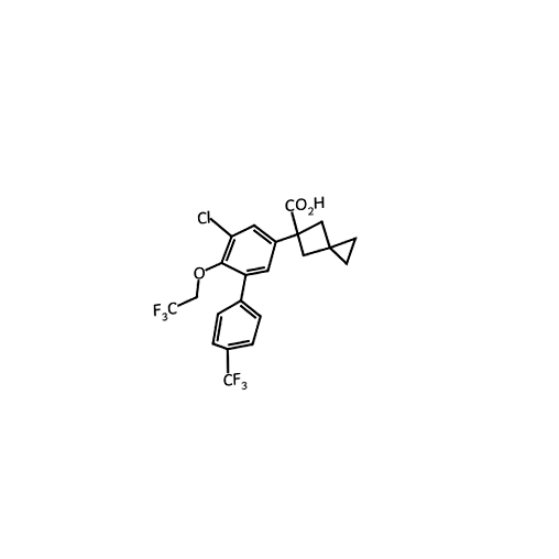 O=C(O)C1(c2cc(Cl)c(OCC(F)(F)F)c(-c3ccc(C(F)(F)F)cc3)c2)CC2(CC2)C1